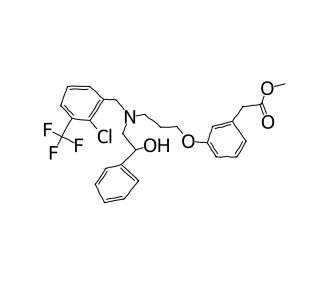 COC(=O)Cc1cccc(OCCCN(Cc2cccc(C(F)(F)F)c2Cl)CC(O)c2ccccc2)c1